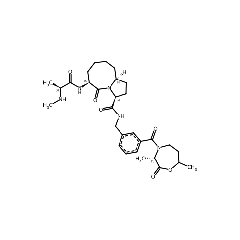 CN[C@@H](C)C(=O)N[C@H]1CCCC[C@H]2CC[C@@H](C(=O)NCc3cccc(C(=O)N4CCC(C)OC(=O)[C@@H]4C)c3)N2C1=O